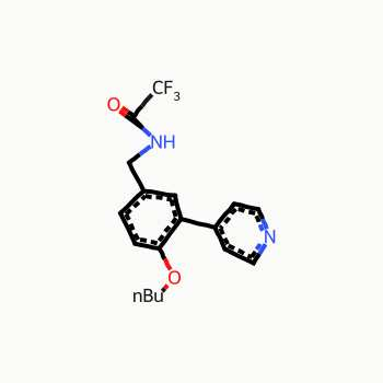 CCCCOc1ccc(CNC(=O)C(F)(F)F)cc1-c1ccncc1